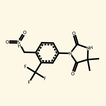 CC1(C)NC(=O)N(c2ccc(C[SH](=O)=O)c(C(F)(F)F)c2)C1=O